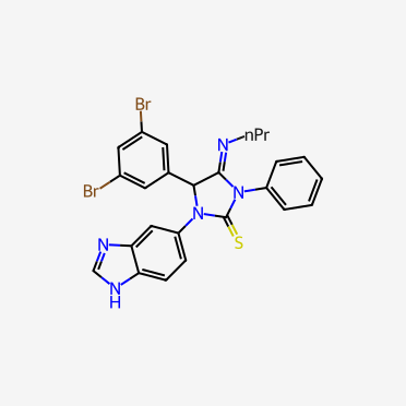 CCCN=C1C(c2cc(Br)cc(Br)c2)N(c2ccc3[nH]cnc3c2)C(=S)N1c1ccccc1